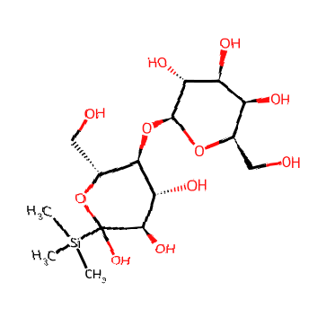 C[Si](C)(C)C1(O)O[C@H](CO)[C@@H](O[C@@H]2O[C@H](CO)[C@H](O)[C@H](O)[C@H]2O)[C@H](O)[C@H]1O